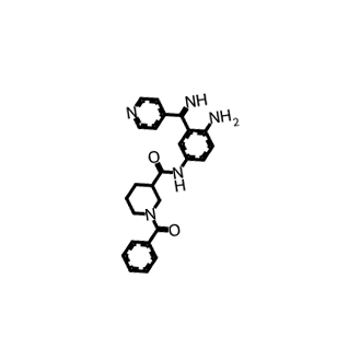 N=C(c1ccncc1)c1cc(NC(=O)C2CCCN(C(=O)c3ccccc3)C2)ccc1N